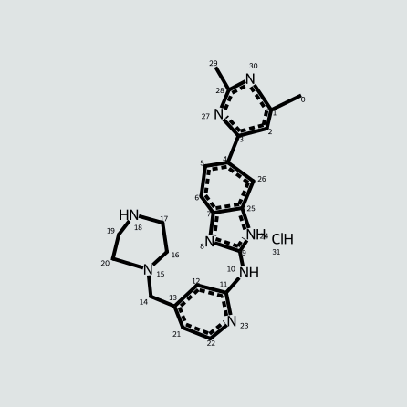 Cc1cc(-c2ccc3nc(Nc4cc(CN5CCNCC5)ccn4)[nH]c3c2)nc(C)n1.Cl